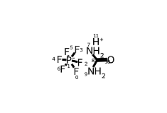 F[P-](F)(F)(F)(F)F.NC(N)=O.[H+]